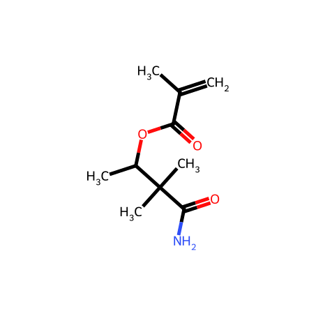 C=C(C)C(=O)OC(C)C(C)(C)C(N)=O